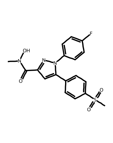 CN(O)C(=O)c1cc(-c2ccc(S(C)(=O)=O)cc2)n(-c2ccc(F)cc2)n1